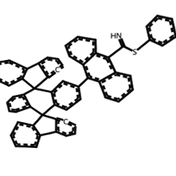 N=C(Sc1ccccc1)c1c2ccccc2c(-c2ccc3c(c2)C2(c4ccccc4-c4ccccc42)c2ccccc2C32c3ccccc3-c3ccccc32)c2ccccc12